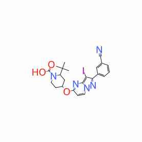 CC(C)(C)C1CC(Oc2ccn3nc(-c4cccc(C#N)c4)c(I)c3n2)CCN1C(=O)O